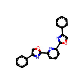 c1ccc(-c2coc(-c3cccc(-c4nc(-c5ccccc5)co4)n3)n2)cc1